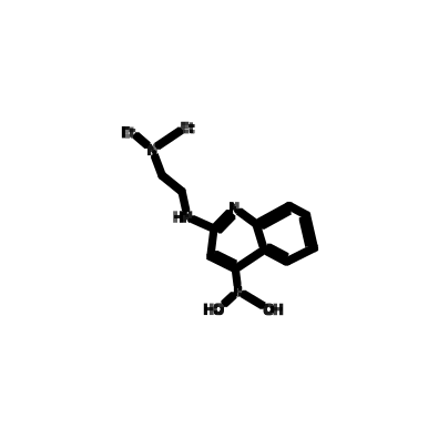 CCN(CC)CCNc1cc(B(O)O)c2ccccc2n1